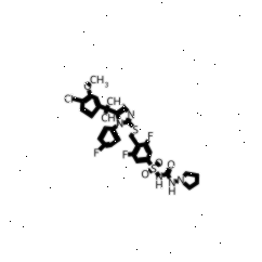 COc1cc(C(C)(C)c2cnc(SCc3c(F)cc(S(=O)(=O)NC(=O)NN4CCCC4)cc3F)n2-c2ccc(F)cc2)ccc1Cl